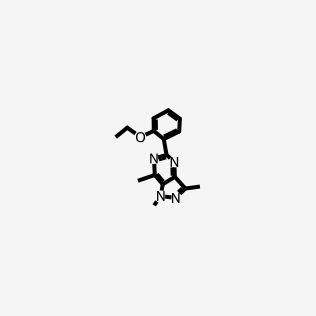 CCOc1ccccc1-c1nc(C)c2c(n1)c(C)nn2C